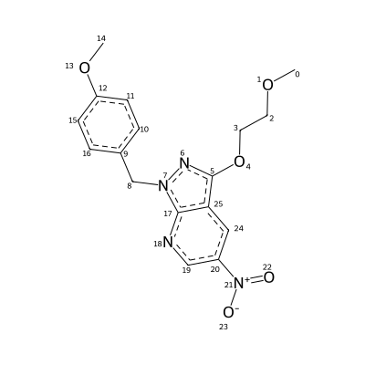 COCCOc1nn(Cc2ccc(OC)cc2)c2ncc([N+](=O)[O-])cc12